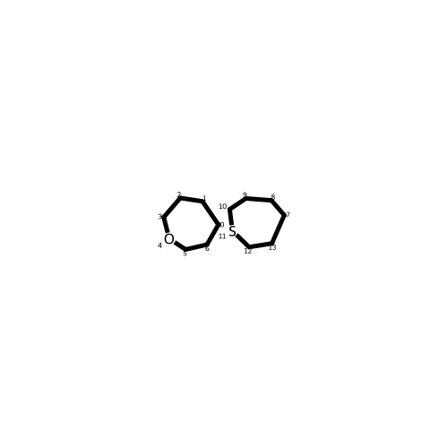 C1CCCOCC1.C1CCCSCC1